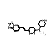 CN(c1ccc(/C=C/c2ccc3nnnn3c2)nn1)C1CCNCC1